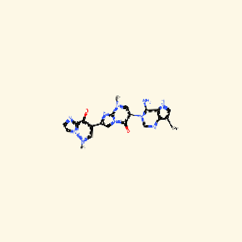 CC(C)c1c[nH]c2c(N)[n+](-c3cn(C(C)C)c4nc(-c5cn(C(C)C)n6ccnc6c5=O)cn4c3=O)cnc12